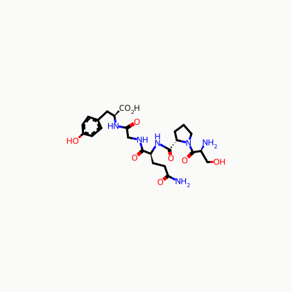 NC(=O)CC[C@H](NC(=O)[C@@H]1CCCN1C(=O)[C@@H](N)CO)C(=O)NCC(=O)N[C@@H](Cc1ccc(O)cc1)C(=O)O